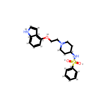 O=S(=O)(NC1CCN(CCOc2cccc3[nH]ccc23)CC1)c1ccccc1